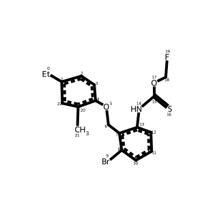 CCc1ccc(OCc2c(Br)cccc2NC(=S)OCF)c(C)c1